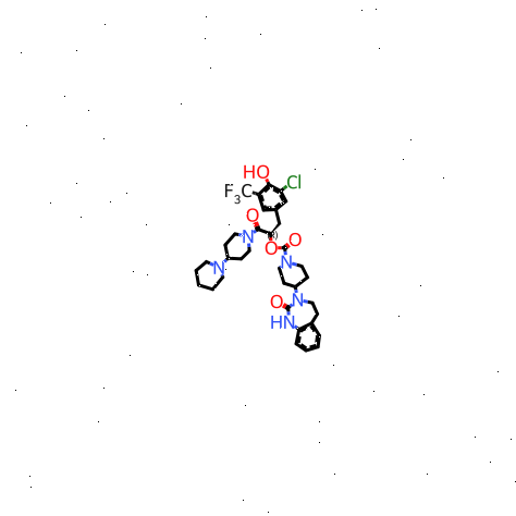 O=C(O[C@H](Cc1cc(Cl)c(O)c(C(F)(F)F)c1)C(=O)N1CCC(N2CCCCC2)CC1)N1CCC(N2CCc3ccccc3NC2=O)CC1